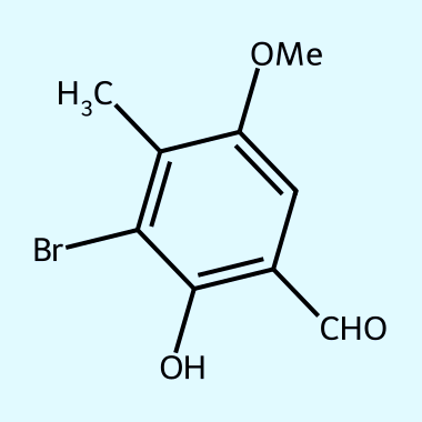 COc1cc(C=O)c(O)c(Br)c1C